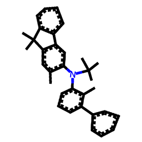 Cc1cc2c(cc1N(c1cccc(-c3ccccc3)c1C)C(C)(C)C)-c1ccccc1C2(C)C